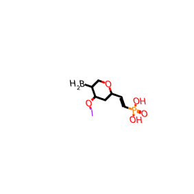 BC1COC(/C=C/P(=O)(O)O)CC1OI